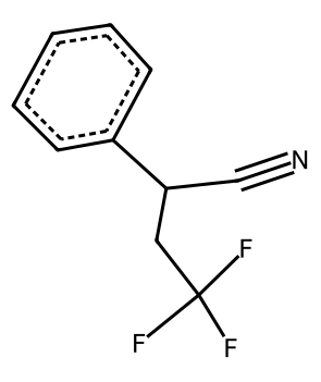 N#CC(CC(F)(F)F)c1ccccc1